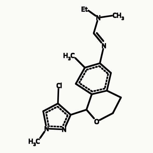 CCN(C)/C=N/c1cc2c(cc1C)C(c1nn(C)cc1Cl)OCC2